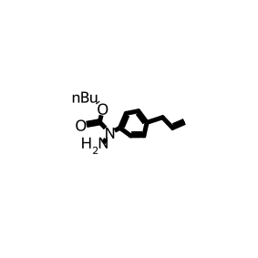 C=CCc1ccc(N(N)C(=O)OCCCC)cc1